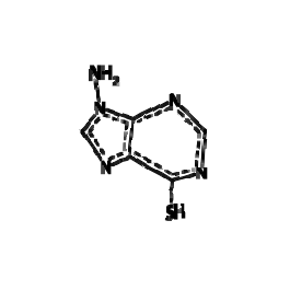 Nn1cnc2c(S)ncnc21